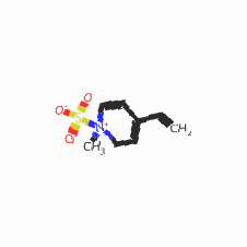 C=CC1=CC[N+](C)(S(=O)(=O)[O-])C=C1